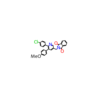 COc1ccc(-c2cc(CN3C(=O)c4ccccc4C3=O)cnc2-c2ccc(Cl)cc2)cc1